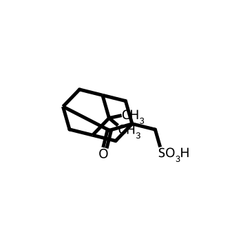 CC1(C)C2CC3CC1CC(CS(=O)(=O)O)(C2)C3=O